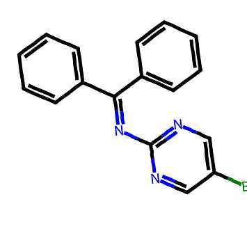 Brc1cnc(N=C(c2ccccc2)c2ccccc2)nc1